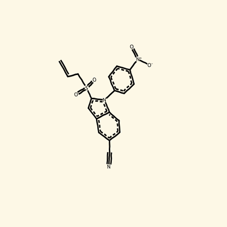 C=CCS(=O)(=O)c1cc2cc(C#N)ccc2n1-c1ccc([N+](=O)[O-])cc1